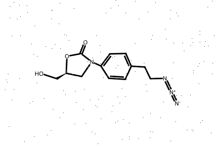 [N-]=[N+]=NCCc1ccc(N2C[C@@H](CO)OC2=O)cc1